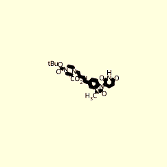 Cn1c(=O)n(C2CCC(=O)NC2=O)c2ccc(CCCCN3CCN(C(=O)OC(C)(C)C)C[C@@H]3C(=O)O)cc21